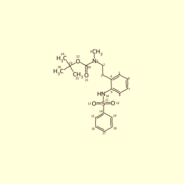 CN(CCc1ccccc1NS(=O)(=O)c1ccccc1)C(=O)OC(C)(C)C